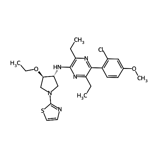 CCO[C@@H]1CN(c2nccs2)C[C@H]1Nc1nc(CC)c(-c2ccc(OC)cc2Cl)nc1CC